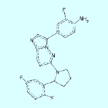 Nc1ccc(-c2cnc3ccc(N4CCCC4c4cc(F)ccc4F)nn23)cc1F